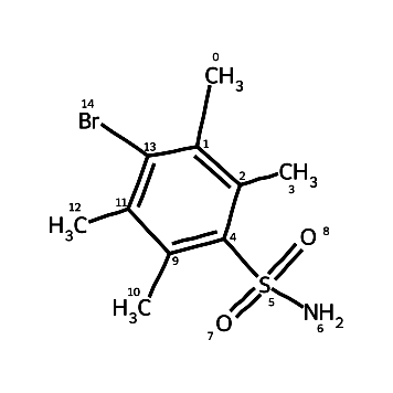 Cc1c(C)c(S(N)(=O)=O)c(C)c(C)c1Br